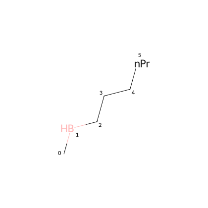 CBCCCCCC